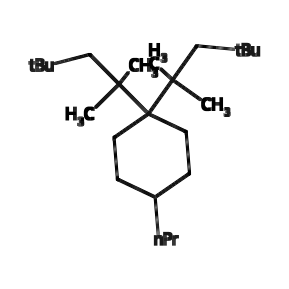 CCCC1CCC(C(C)(C)CC(C)(C)C)(C(C)(C)CC(C)(C)C)CC1